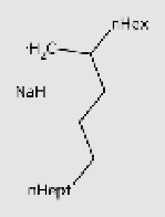 [CH2]C(CCCCCC)CCCCCCCCCC.[NaH]